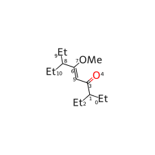 CCC(CC)C(=O)/C=C(\OC)C(CC)CC